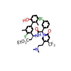 CCOC(=O)C[C@H](NC(=O)C(c1cccc(Br)c1)n1cc(CCN(C)C)c(C(F)(F)F)cc1=O)c1cc(-c2c(C)cccc2O)cc(C)c1F